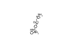 Nc1nc(CC2CCN(c3ccc(C(=O)Nc4ccccc4N)cc3)C2=O)cs1